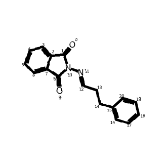 O=C1c2ccccc2C(=O)N1/N=C/CCc1ccccc1